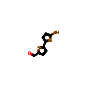 O=Cc1ccc(-c2ccc(S)s2)s1